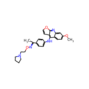 COc1ccc2c(Nc3ccc(C(C)=NOCCN4CCCC4)cc3)c3ccoc3nc2c1